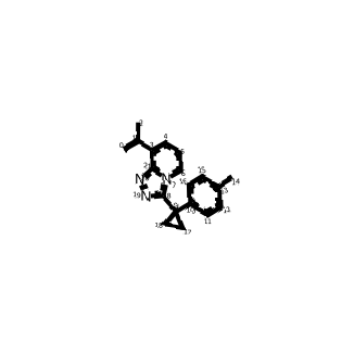 C=C(C)c1cccn2c(C3(c4ccc(C)cc4)CC3)nnc12